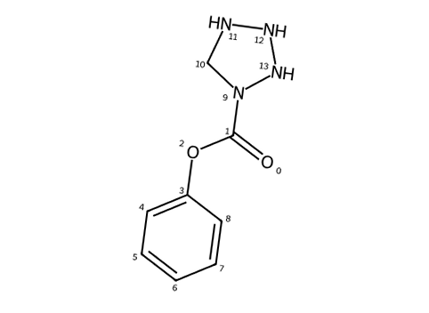 O=C(Oc1ccccc1)N1CNNN1